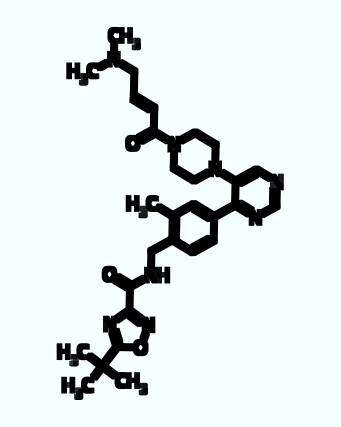 Cc1cc(-c2ncncc2N2CCN(C(=O)/C=C/CN(C)C)CC2)ccc1CNC(=O)c1noc(C(C)(C)C)n1